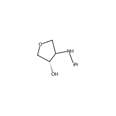 CC(C)NC1COC[C@H]1O